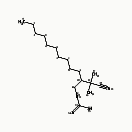 CCCCCCCCCCC(C[SH2]C(=S)S)C(C)(C)C#N